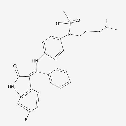 CN(C)CCCN(c1ccc(N/C(=C2\C(=O)Nc3cc(F)ccc32)c2ccccc2)cc1)S(C)(=O)=O